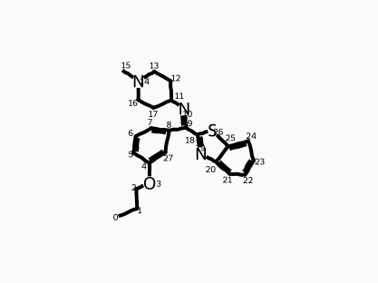 CCCOc1cccc(/C(=N\C2CCN(C)CC2)c2nc3ccccc3s2)c1